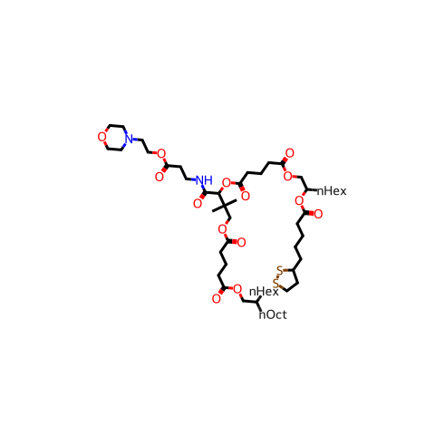 CCCCCCCCC(CCCCCC)COC(=O)CCCC(=O)OCC(C)(C)C(OC(=O)CCCC(=O)OCC(CCCCCC)OC(=O)CCCCC1CCSS1)C(=O)NCCC(=O)OCCN1CCOCC1